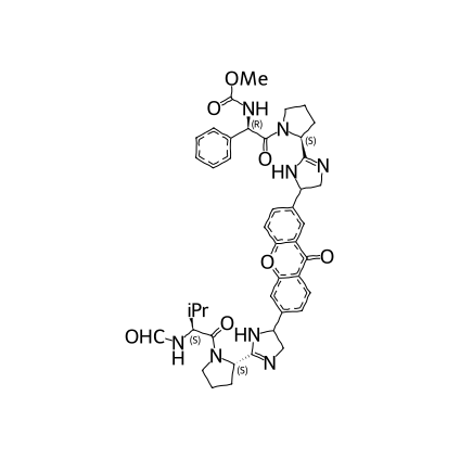 COC(=O)N[C@@H](C(=O)N1CCC[C@H]1C1=NCC(c2ccc3oc4cc(C5CN=C([C@@H]6CCCN6C(=O)[C@@H](NC=O)C(C)C)N5)ccc4c(=O)c3c2)N1)c1ccccc1